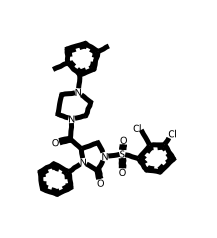 Cc1ccc(C)c(N2CCN(C(=O)C3CN(S(=O)(=O)c4cccc(Cl)c4Cl)C(=O)N3c3ccccc3)CC2)c1